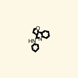 c1ccc(Nc2nc3ccccc3c3occc23)cc1